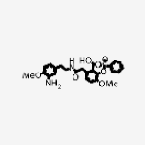 COc1ccc(CCNC(=O)Cc2ccc(OC)c(OS(=O)(=O)c3ccccc3)c2CO)cc1N